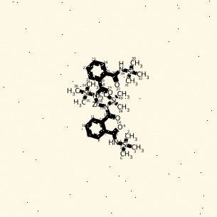 C[Si](C)(C)NC(=O)c1ccccc1C(=O)[N]([Zr][N](C(=O)c1ccccc1C(=O)N[Si](C)(C)C)[Si](C)(C)C)[Si](C)(C)C